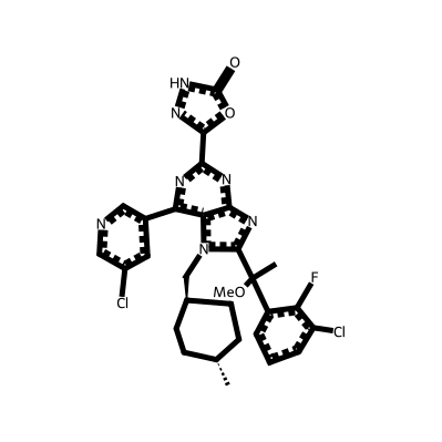 COC(C)(c1cccc(Cl)c1F)c1nc2nc(-c3n[nH]c(=O)o3)nc(-c3cncc(Cl)c3)c2n1C[C@H]1CC[C@H](C)CC1